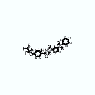 O=C(NS(=O)(=O)c1cc(S(=O)(=O)c2ccccc2)cs1)c1ccc(OC(F)(F)C(F)F)cc1